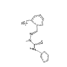 CN(N=Cc1ccccc1C(=O)O)C(=S)Nc1ccccc1